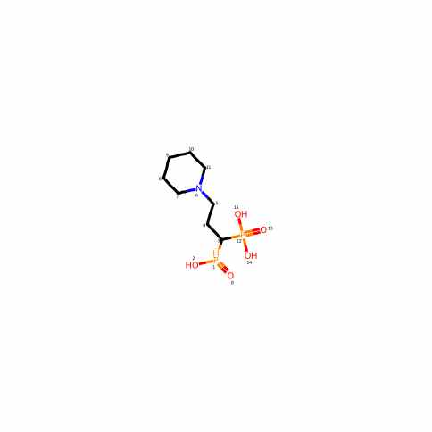 O=[PH](O)C(CCN1CCCCC1)P(=O)(O)O